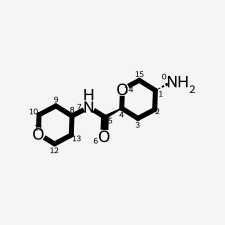 N[C@@H]1CC[C@@H](C(=O)NC2CCOCC2)OC1